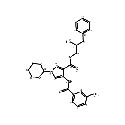 Cc1cccc(C(=O)Nc2cn(C3CCCCO3)nc2C(=O)NCC(O)Cc2ccccc2)n1